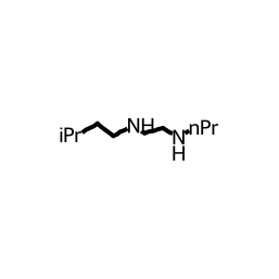 CCCNCCNCCC(C)C